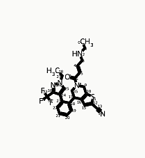 CCNC/C=C/C(=O)N1Cc2sc(C#N)cc2C(c2ccccc2-c2cn(CC)nc2C(F)(F)F)C1